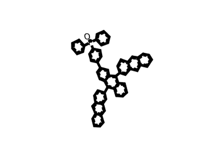 O=P(c1ccccc1)(c1ccccc1)c1ccc(-c2ccc3c(-c4ccc5cc6ccccc6cc5c4)c4ccccc4c(-c4ccc5cc6ccccc6cc5c4)c3c2)cc1